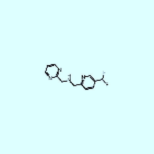 FC(F)c1ccc(CNCc2ncccn2)nc1